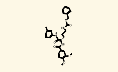 COc1ccc(C(=O)N[C@@H](CCCNC(=O)OCc2ccccc2)C(=O)Nc2[c]c(C)ccc2)cc1OC